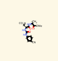 COC(=O)[C@H](C)NC(=O)[C@H](CC(=O)O)NC(=O)Nc1ccc(C#N)cc1